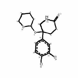 O=C1CCC(OC2CCCCO2)(c2ccc(Cl)c(Cl)c2)CN1